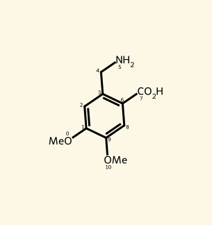 COc1cc(CN)c(C(=O)O)cc1OC